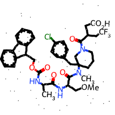 COCC(NC(=O)C(C)NC(=O)OCC1c2ccccc2-c2ccccc21)C(=O)N(C)C1(Cc2ccc(Cl)cc2)CCCN(C(=O)C(CC(=O)O)CC(F)(F)F)C1